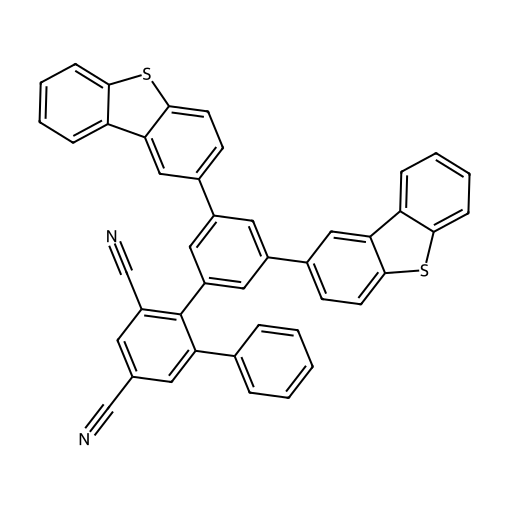 N#Cc1cc(C#N)c(-c2cc(-c3ccc4sc5ccccc5c4c3)cc(-c3ccc4sc5ccccc5c4c3)c2)c(-c2ccccc2)c1